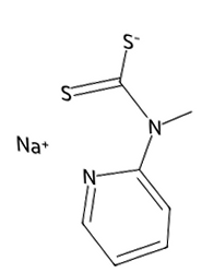 CN(C(=S)[S-])c1ccccn1.[Na+]